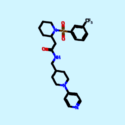 O=C(CC1CCCCN1S(=O)(=O)c1cccc(C(F)(F)F)c1)NCC1CCN(c2ccncc2)CC1